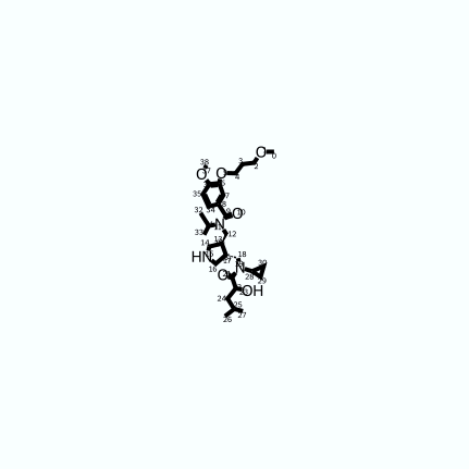 COCCCOc1cc(C(=O)N(C[C@@H]2CNC[C@H]2CN(C(=O)C(O)CC(C)C)C2CC2)C(C)C)ccc1OC